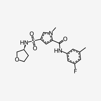 Cc1cc(F)cc(NC(=O)c2cc(S(=O)(=O)N[C@H]3CCOC3)cn2C)c1